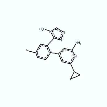 Cn1cnnc1-c1cc(F)ccc1-c1cc(N)nc(C2CC2)c1